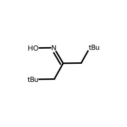 CC(C)(C)CC(CC(C)(C)C)=NO